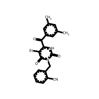 CCc1c(C(=O)c2cc(C)cc(C)c2)[nH]c(=O)n(Cc2ccccc2C#N)c1=O